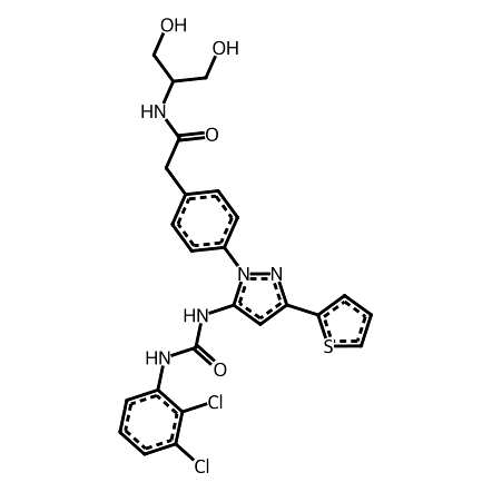 O=C(Cc1ccc(-n2nc(-c3cccs3)cc2NC(=O)Nc2cccc(Cl)c2Cl)cc1)NC(CO)CO